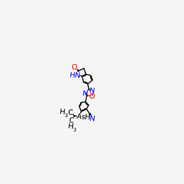 CC(C)[AsH]c1ccc(-c2nc(-c3ccc4c(c3)NC(=O)C4)no2)cc1C#N